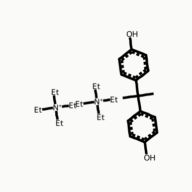 CC(C)(c1ccc(O)cc1)c1ccc(O)cc1.CC[N+](CC)(CC)CC.CC[N+](CC)(CC)CC